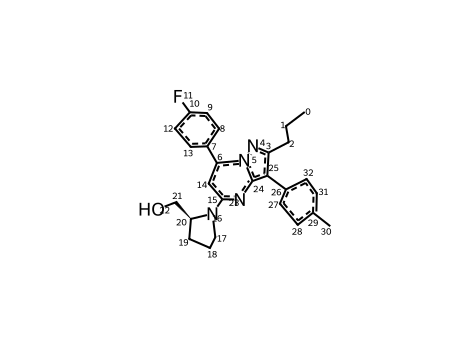 CCCc1nn2c(-c3ccc(F)cc3)cc(N3CCC[C@H]3CO)nc2c1-c1ccc(C)cc1